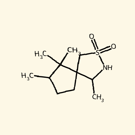 CC1CCC2(CS(=O)(=O)NC2C)C1(C)C